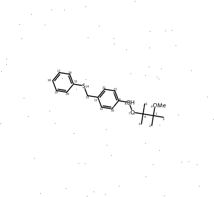 COC(C)(C)C(C)(C)OBc1ccc(CSc2ccccc2)cc1